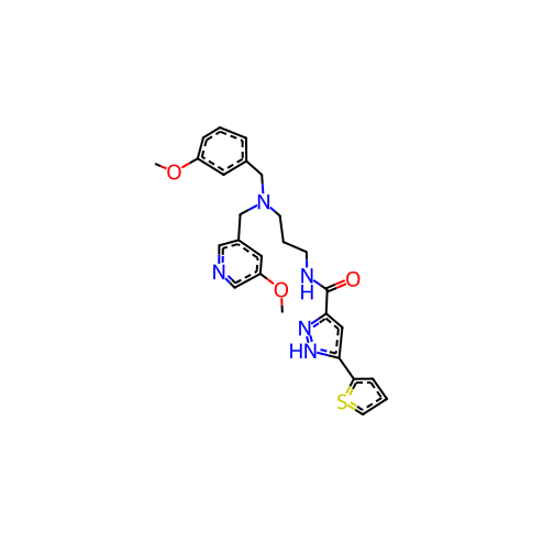 COc1cccc(CN(CCCNC(=O)c2cc(-c3cccs3)[nH]n2)Cc2cncc(OC)c2)c1